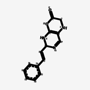 O=C1CNC2=C(NC(/C=C/c3ccccc3)N=C2)O1